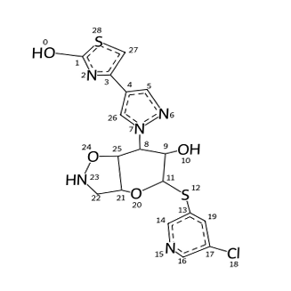 Oc1nc(-c2cnn(C3C(O)C(Sc4cncc(Cl)c4)OC4CNOC43)c2)cs1